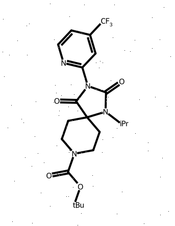 CC(C)N1C(=O)N(c2cc(C(F)(F)F)ccn2)C(=O)C12CCN(C(=O)OC(C)(C)C)CC2